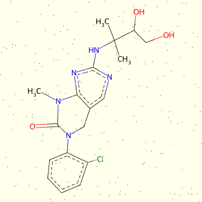 CN1C(=O)N(c2ccccc2Cl)Cc2cnc(NC(C)(C)C(O)CO)nc21